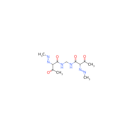 CN=NC(C(C)=O)C(=O)NCNC(=O)C(N=NC)C(C)=O